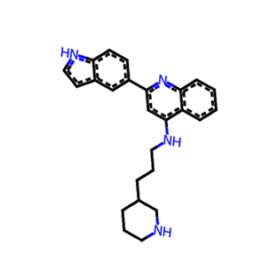 c1ccc2c(NCCCC3CCCNC3)cc(-c3ccc4[nH]ccc4c3)nc2c1